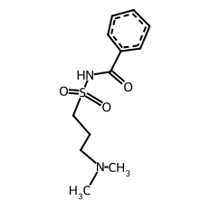 CN(C)CCCS(=O)(=O)NC(=O)c1ccccc1